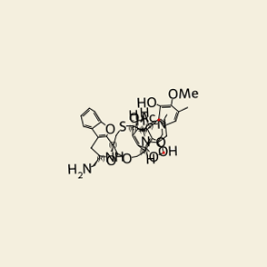 COc1c(C)cc2c(c1O)[C@H]1[C@@H]3[C@@H]4SC[C@]5(N[C@@H](CN)Cc6c5oc5ccccc65)C(=O)OC[C@@H](c5c6c(c(C)c(OC(C)=O)c54)OCO6)N3C(O)(C2)CN1C